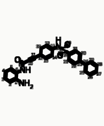 Nc1ccccc1NC(=O)C#CC1C=CC(NS(=O)(=O)c2ccc(-c3ccccc3)cc2)=CC1